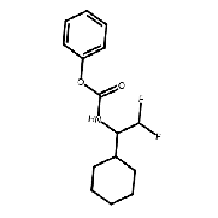 O=C(NC(C(F)F)C1CCCCC1)Oc1ccccc1